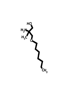 CCCCCCCOCC(C)(N)CO